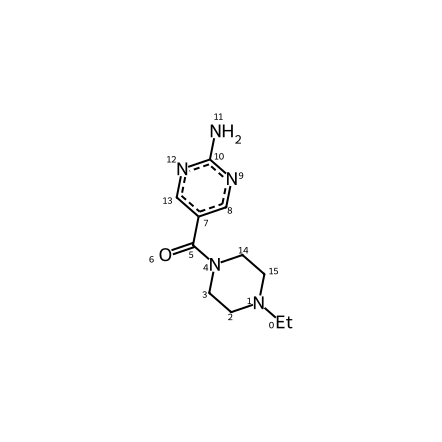 CCN1CCN(C(=O)c2cnc(N)nc2)CC1